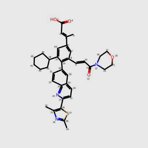 C/C(=C\C(=O)O)c1cc(/C=C/C(=O)N2CCOCC2)c(-c2ccc3nc(-c4sc(C)nc4C)ccc3c2)c(C2CCCCC2)c1